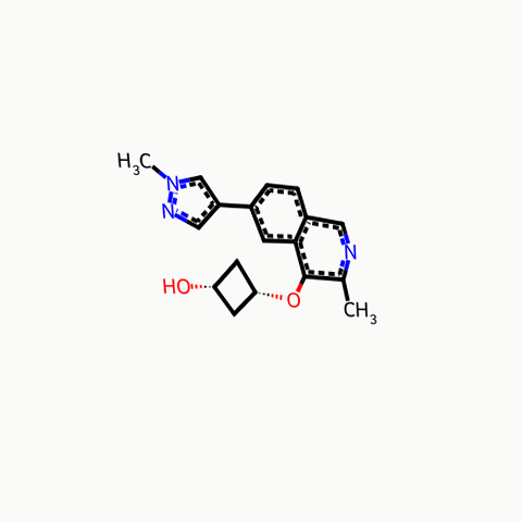 Cc1ncc2ccc(-c3cnn(C)c3)cc2c1O[C@H]1C[C@@H](O)C1